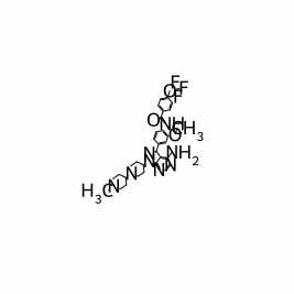 COc1cc(-c2nn(C3CCN(C4CCN(C)CC4)CC3)c3ncnc(N)c23)ccc1NC(=O)c1ccc(OC(F)(F)F)cc1